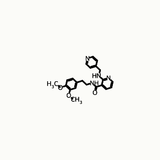 COc1ccc(CCNC(=O)c2cccnc2NCc2ccncc2)cc1OC